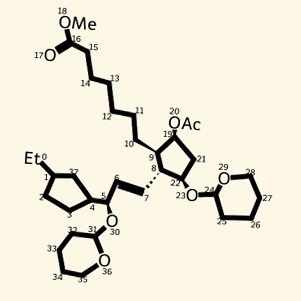 CCC1CCC([C@@H](C=C[C@@H]2[C@@H](CCCCCCC(=O)OC)[C@@H](OC(C)=O)C[C@H]2OC2CCCCO2)OC2CCCCO2)C1